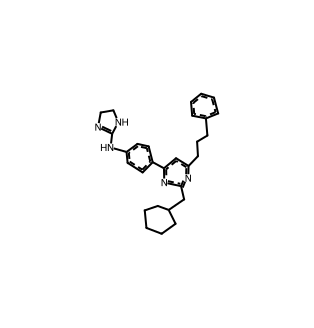 c1ccc(CCCc2cc(-c3ccc(NC4=NCCN4)cc3)nc(CC3CCCCC3)n2)cc1